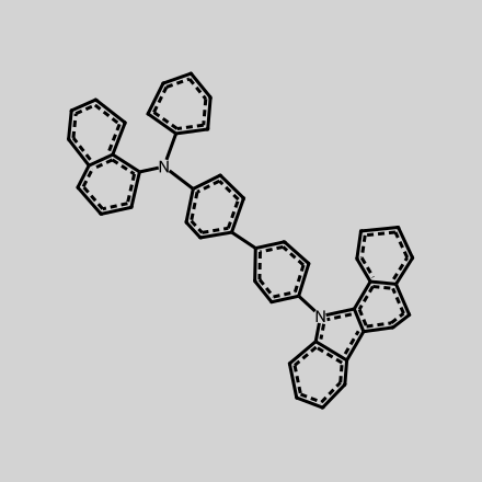 c1ccc(N(c2ccc(-c3ccc(-n4c5ccccc5c5ccc6ccccc6c54)cc3)cc2)c2cccc3ccccc23)cc1